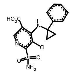 NS(=O)(=O)c1ncc(C(=O)O)c(NC2(c3ccccc3)CC2)c1Cl